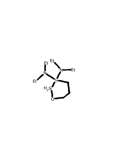 CCN(CC)[Si]1(N(CC)CC)CCCO[SiH2]1